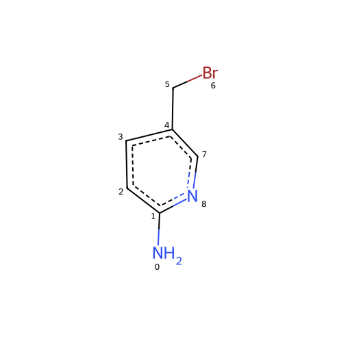 Nc1ccc(CBr)cn1